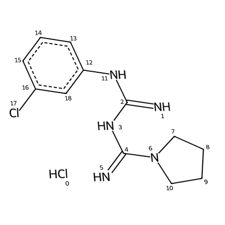 Cl.N=C(NC(=N)N1CCCC1)Nc1cccc(Cl)c1